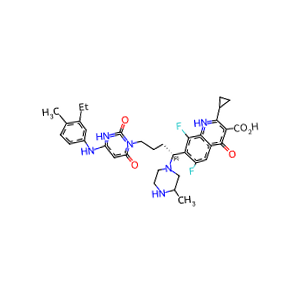 CCc1cc(Nc2cc(=O)n(CCC[C@H](c3c(F)cc4c(=O)c(C(=O)O)c(C5CC5)[nH]c4c3F)N3CCNC(C)C3)c(=O)[nH]2)ccc1C